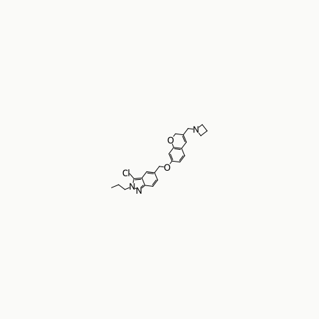 CCCn1nc2ccc(COc3ccc4c(c3)OCC(CN3CCC3)=C4)cc2c1Cl